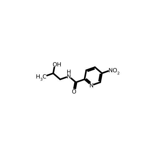 CC(O)CNC(=O)c1ccc([N+](=O)[O-])cn1